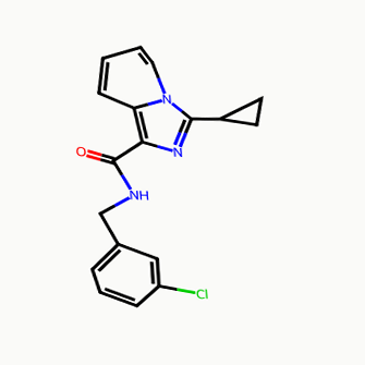 O=C(NCc1cccc(Cl)c1)c1nc(C2CC2)n2ccccc12